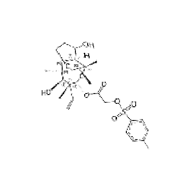 C=C[C@@]1(C)[C@@H](OC(=O)COS(=O)(=O)c2ccc(C)cc2)C[C@]2(C)[C@H](C)CC[C@]3(CCC(O)[C@@H]23)[C@@H](C)[C@@H]1O